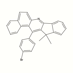 CC1(C)c2ccccc2-c2nc3ccc4ccccc4c3c(-c3ccc(Br)cc3)c21